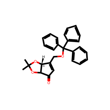 CC1(C)OC2C(=O)C=C(COC(c3ccccc3)(c3ccccc3)c3ccccc3)[C@H]2O1